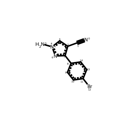 N#Cc1cn(N)nc1-c1ccc(Br)cc1